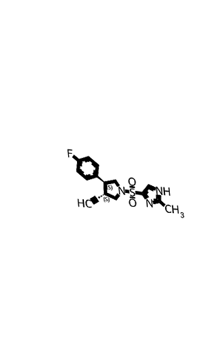 C#C[C@H]1CN(S(=O)(=O)c2c[nH]c(C)n2)C[C@@H]1c1ccc(F)cc1